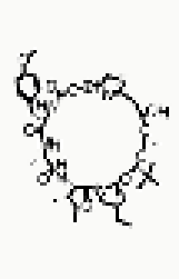 CCCCN1C(=O)O[C@H](C(C)(C)C)C[C@@H](C)C[C@H](O)CC2=N[C@H](CCC(=O)N[C@@H](Cc3ccc(OC)cc3)C(=O)N[C@@H](C)C(=O)N[C@@H]([C@@H](C)CC)C1=O)CS2